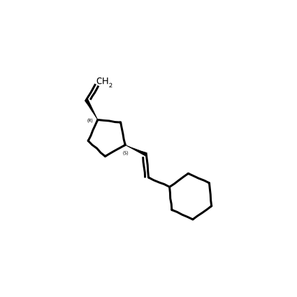 C=C[C@@H]1CC[C@H](C=CC2CCCCC2)C1